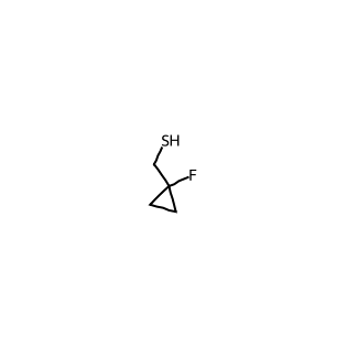 FC1(CS)CC1